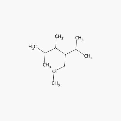 COCC(C(C)C)C(C)C(C)C